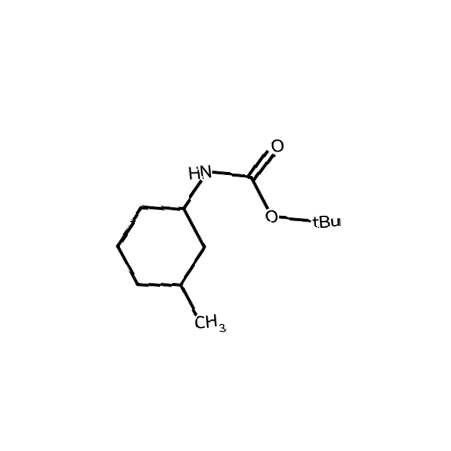 CC1CCCC(NC(=O)OC(C)(C)C)C1